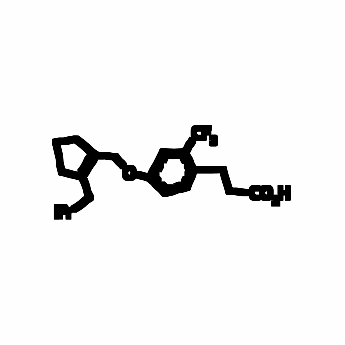 CC(C)CC1=C(COc2ccc(CCC(=O)O)c(C(F)(F)F)c2)CCC1